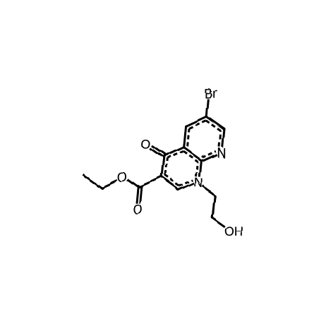 CCOC(=O)c1cn(CCO)c2ncc(Br)cc2c1=O